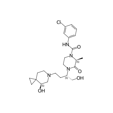 C[C@H]1C(=O)N([C@H](CO)CCN2CCC3(CC3)[C@H](O)C2)CCN1C(=O)Nc1cccc(Cl)c1